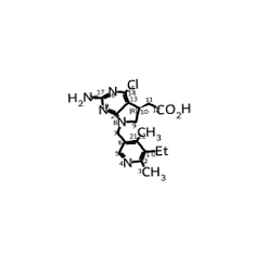 CCc1c(C)ncc(CN2C[C@H](CC(=O)O)c3c(Cl)nc(N)nc32)c1C